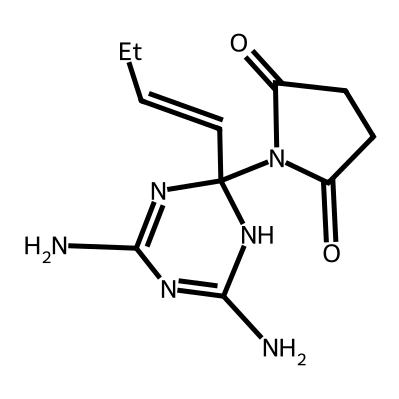 CCC=CC1(N2C(=O)CCC2=O)N=C(N)N=C(N)N1